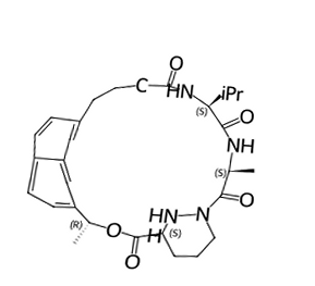 CC(C)[C@@H]1NC(=O)CCCc2ccc3ccc(cc3c2)[C@@H](C)OC(=O)[C@@H]2CCCN(N2)C(=O)[C@H](C)NC1=O